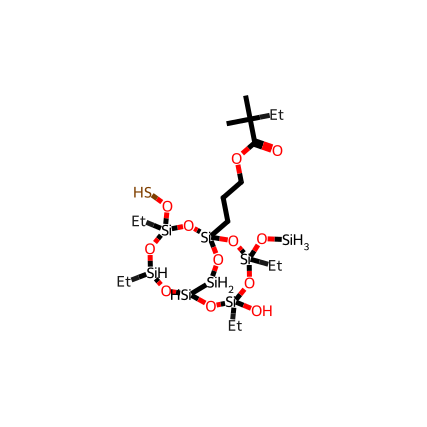 CC[SiH]1O[SiH]2O[Si](O)(CC)O[Si](CC)(O[SiH3])O[Si](CCCOC(=O)C(C)(C)CC)(O[SiH2]2)O[Si](CC)(OS)O1